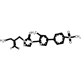 Cc1cc(-c2ccc(S(C)(=O)=O)cc2)cnc1-n1cnn(CC(CN)=C(F)F)c1=O